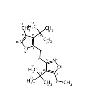 CCc1onc(CCc2onc(C)c2C(C)(C)C)c1C(C)(C)C